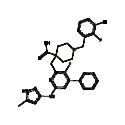 Cc1cc(Nc2cc(-c3ccccc3)c(F)c(CC3(C(=O)O)CCN(Cc4cccc(Cl)c4F)CC3)n2)n[nH]1